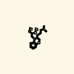 CCOC(CN1c2ccccc2OCC1CCCN(C)C)OCC